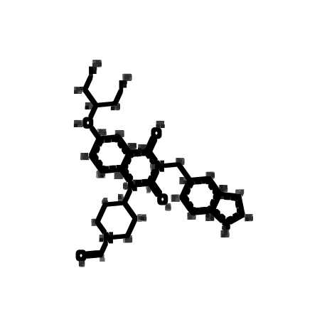 O=CN1CCC(n2c(=O)n(Cc3ccc4sccc4c3)c(=O)c3cc(OC(CF)CF)ccc32)CC1